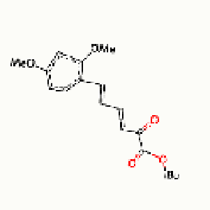 CCC(C)OC(=O)C(=O)/C=C/C=C/c1ccc(OC)cc1OC